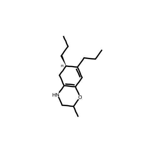 CCCC1=CC2=C(C[C@H]1CCC)NCC(C)O2